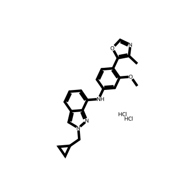 COc1cc(Nc2cccc3cn(CC4CC4)nc23)ccc1-c1ocnc1C.Cl.Cl